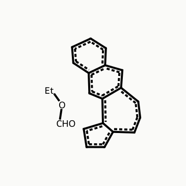 CCOC=O.c1cc2cccc3cc4ccccc4cc3c-2c1